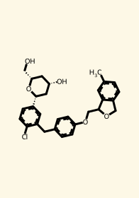 Cc1ccc2c(c1)C(COc1ccc(Cc3cc([C@H]4C[C@@H](O)C[C@@H](CO)O4)ccc3Cl)cc1)OC2